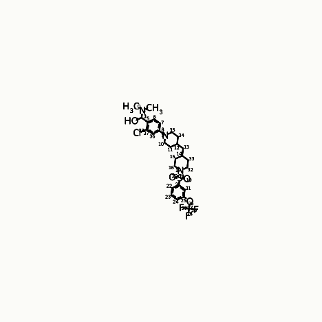 CN(C)C(O)c1ccc(N2CCC(CC3CCN(S(=O)(=O)c4cccc(OC(F)(F)F)c4)CC3)CC2)cc1Cl